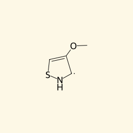 COC1=CSN[CH]1